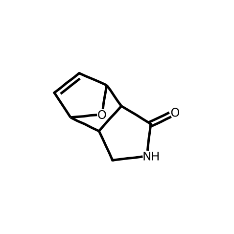 O=C1NCC2C3C=CC(O3)C12